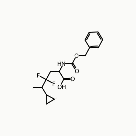 CC(C1CC1)C(F)(F)CC(NC(=O)OCc1ccccc1)C(=O)O